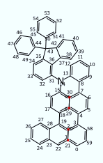 c1ccc(-c2ccc(-c3ccccc3N(c3ccc(-c4cccc5ccccc45)cc3)c3cccc4c3-c3ccccc3C4(c3ccccc3)c3ccccc3)cc2)cc1